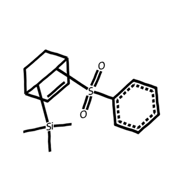 C[Si](C)(C)C1C2C=CC(CC2)C1S(=O)(=O)c1ccccc1